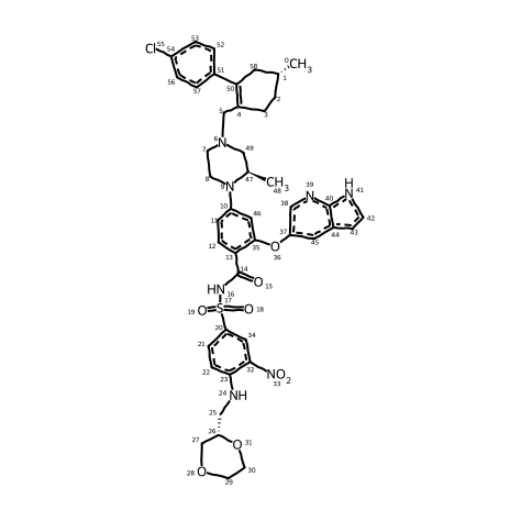 C[C@@H]1CCC(CN2CCN(c3ccc(C(=O)NS(=O)(=O)c4ccc(NC[C@H]5COCCO5)c([N+](=O)[O-])c4)c(Oc4cnc5[nH]ccc5c4)c3)[C@H](C)C2)=C(c2ccc(Cl)cc2)C1